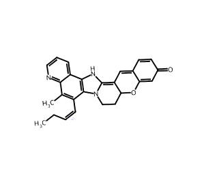 CC/C=C\c1c2c(c3cccnc3c1C)NC1=C3C=C4C=CC(=O)C=C4OC3CCN12